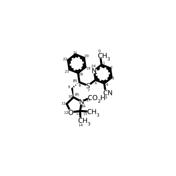 Cc1ccc(C#N)c(S[C@H](C[C@@H]2COC(C)(C)N2C(=O)O)c2ccccc2)n1